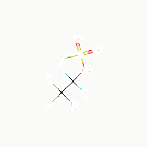 O=S(=O)(Cl)OC(F)(F)C(F)(F)Br